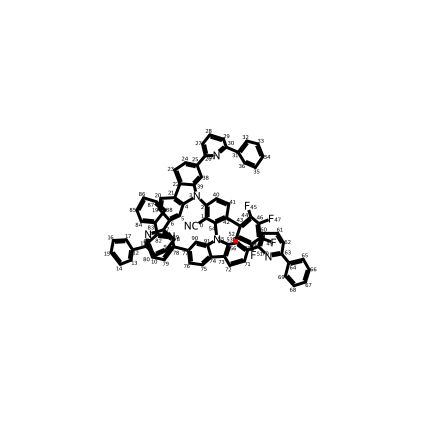 N#Cc1c(-n2c3cc(-c4cccc(-c5ccccc5)n4)ccc3c3ccc(-c4cccc(-c5ccccc5)n4)cc32)ccc(-c2c(F)c(F)c(F)c(F)c2F)c1-n1c2cc(-c3cccc(-c4ccccc4)n3)ccc2c2ccc(-c3cccc(-c4ccccc4)n3)cc21